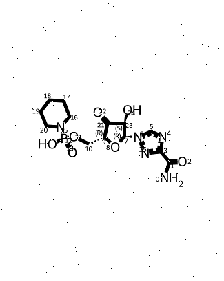 NC(=O)c1ncn([C@@H]2O[C@H](COP(=O)(O)N3CCCCC3)C(=O)[C@H]2O)n1